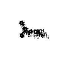 C[C@@H]1CN(c2ccc3c(-c4ccc(OCc5ccccc5)nc4OCc4ccccc4)nn(C)c3c2)CC[C@H]1N(C)C(=O)OC(C)(C)C